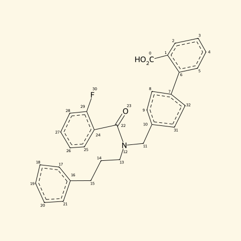 O=C(O)c1ccccc1-c1ccc(CN(CCCc2ccccc2)C(=O)c2ccccc2F)cc1